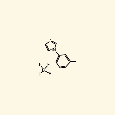 Cc1cccc([NH+]2C=CN=C2)c1.F[B-](F)(F)F